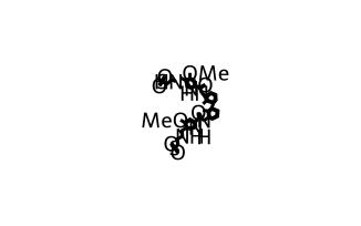 COc1cc(C(=O)Nc2cccc(-c3cccc(NC(=O)c4cc(OC)c(CNCCS(C)(=O)=O)cn4)c3C)c2C)ncc1CNCCS(C)(=O)=O